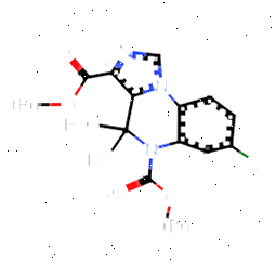 CC(C)(C)OC(=O)c1ncn2c1C(C)(C)N(C(=O)OC(C)(C)C)c1cc(Cl)ccc1-2